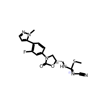 CS/C(=N\C#N)NC[C@H]1CN(c2ccc(-c3ccnn3C)c(F)c2)C(=O)O1